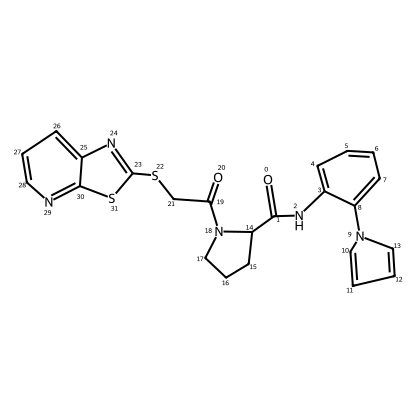 O=C(Nc1ccccc1-n1cccc1)C1CCCN1C(=O)CSc1nc2cccnc2s1